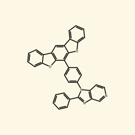 c1ccc(-c2nc3cnccc3n2-c2ccc(-c3c4oc5ccccc5c4cc4c3oc3ccccc34)cc2)cc1